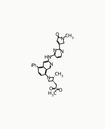 CC(C)c1ccc(N2C[C@H](CS(C)(=O)=O)[C@H]2C)c2cnc(Nc3ccnc(C4=CC(=O)N(C)C4)n3)cc12